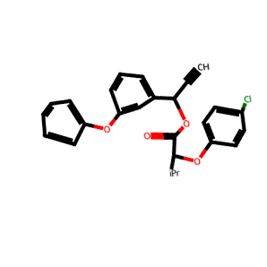 C#CC(OC(=O)C(Oc1ccc(Cl)cc1)C(C)C)c1cccc(Oc2ccccc2)c1